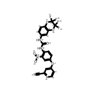 N#Cc1cc(Oc2ccc(NC(=O)Nc3ccc4c(c3)OC(F)(F)C(F)(F)O4)c([N+](=O)[O-])c2)ccn1